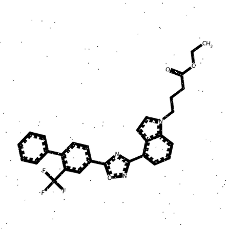 CCOC(=O)CCCn1ccc2c(-c3noc(-c4ccc(-c5ccccc5)c(C(F)(F)F)c4)n3)cccc21